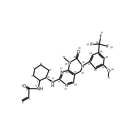 C=CC(=O)NC1CCCC[C@H]1Nc1ncc2c(n1)N(C)C(=O)N(c1cc(OC)cc(C(F)(F)F)c1)C2